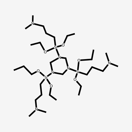 CCCO[Si](CCCN(C)C)(OCC)N1CN([Si](CCCN(C)C)(OCC)OCC)CN([Si](CCCN(C)C)(OCC)OCC)C1